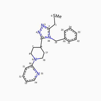 CSCc1nnc(C2CCN(c3ccccn3)CC2)n1Cc1ccccc1